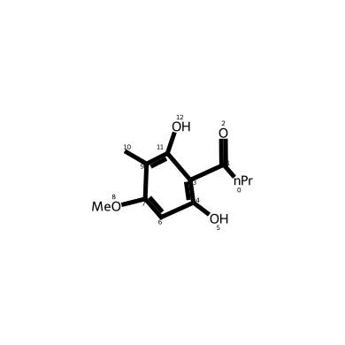 CCCC(=O)c1c(O)cc(OC)c(C)c1O